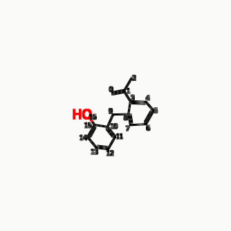 C=C(C)c1ccccc1Cc1ccccc1O